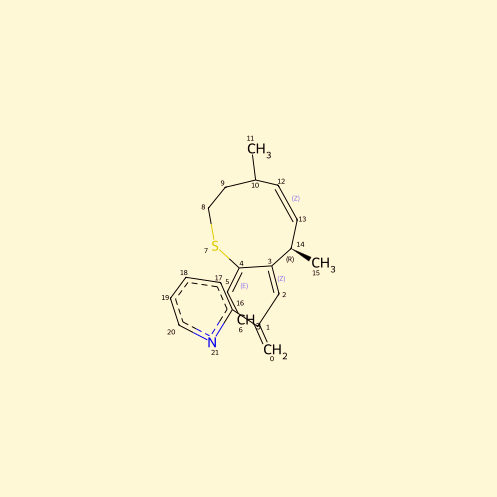 C=C(/C=C1\C(=C/C)SCCC(C)/C=C\[C@H]1C)c1ccccn1